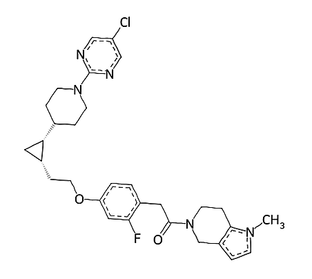 Cn1ccc2c1CCN(C(=O)Cc1ccc(OCC[C@@H]3C[C@@H]3C3CCN(c4ncc(Cl)cn4)CC3)cc1F)C2